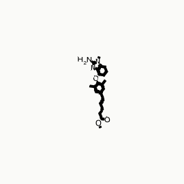 COC(=O)CC/C=C/c1cc(C)c(Oc2cccc3c2nc(N)n3C)c(C)c1